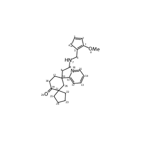 COc1ccsc1CNCCC1(c2ccccn2)CCC(=O)C2(CCCC2)C1